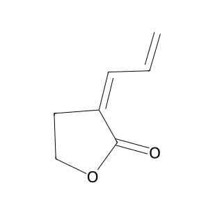 C=CC=C1CCOC1=O